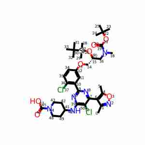 Cc1noc(C)c1-c1nc(-c2cc(OC[C@@H](CN(C)C(=O)OC(C)(C)C)O[Si](C)(C)C(C)(C)C)ccc2Cl)nc(NC2CCN(C(=O)O)CC2)c1Cl